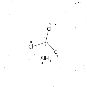 Cl[C](Cl)Cl.[AlH3]